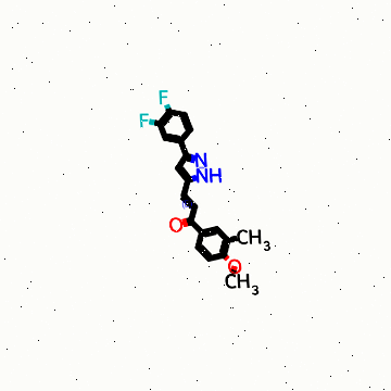 COc1ccc(C(=O)/C=C/c2cc(-c3ccc(F)c(F)c3)n[nH]2)cc1C